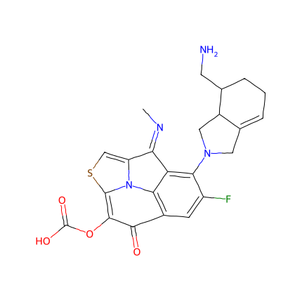 CN=c1c2c(N3CC4=CCCC(CN)C4C3)c(F)cc3c(=O)c(OC(=O)O)c4scc1n4c32